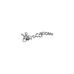 COCOc1ccc2cc(OCCCNC(=O)N(C3CC3)[C@H]3CCCC[C@@H]3O)ccc2n1